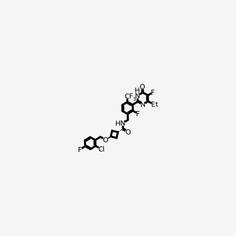 CCc1nc(-c2c(C(F)(F)F)ccc(CNC(=O)[C@H]3C[C@H](OCc4ccc(F)cc4Cl)C3)c2F)[nH]c(=O)c1F